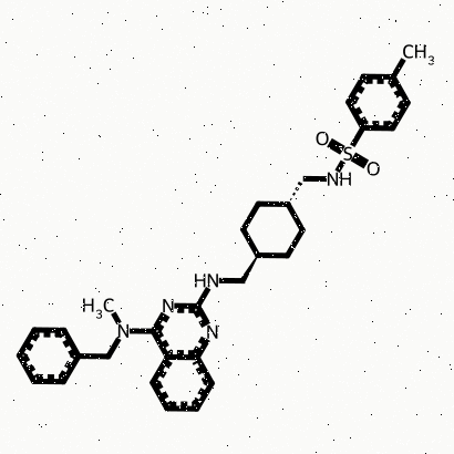 Cc1ccc(S(=O)(=O)NC[C@H]2CC[C@H](CNc3nc(N(C)Cc4ccccc4)c4ccccc4n3)CC2)cc1